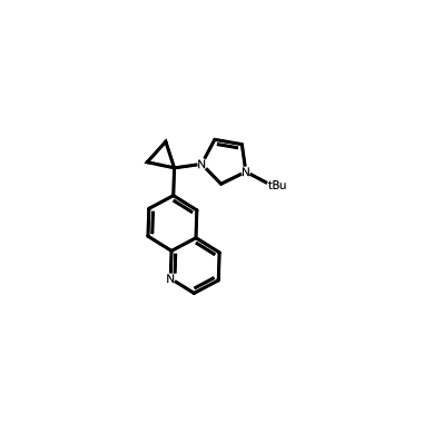 CC(C)(C)N1C=CN(C2(c3ccc4ncccc4c3)CC2)C1